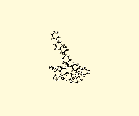 CC1(C)CCC(C)(C)c2cc(N(c3ccc(-c4ccc5cc(-c6ccccc6)ccc5c4)cc3)c3ccc4c(c3)C3(C5C=CC=CC45)C4CC5CC6CC3C64C5)ccc21